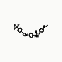 CCSc1ccc(CC(=O)Nc2ccc(N3CCC(c4ccc(C(F)(F)F)cc4)C3)cc2)cc1